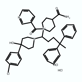 CC(CCC(N1CCC(O)(c2ccc(Cl)cc2)CC1)[N+]1(C(=O)c2cccnc2)CCC(C(N)=O)CC1)(c1ccccc1)c1ccccc1.Cl.Cl